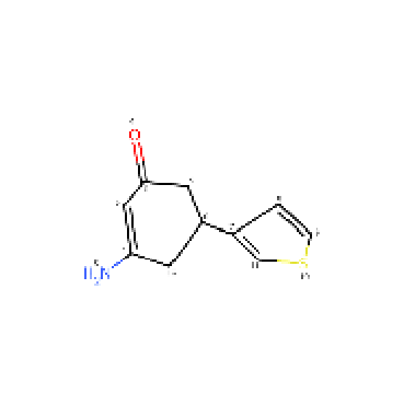 NC1=CC(=O)CC(c2ccsc2)C1